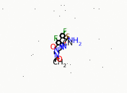 C=CC(=O)N1CCN2C(=O)c3cc(F)c(-c4ccc(F)c5sc(N)c(C#N)c45)c4cnn(c34)CC2C1